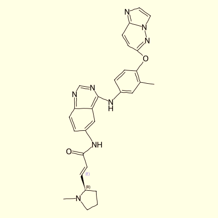 Cc1cc(Nc2ncnc3ccc(NC(=O)/C=C/[C@H]4CCCN4C)cc23)ccc1Oc1ccc2nccn2n1